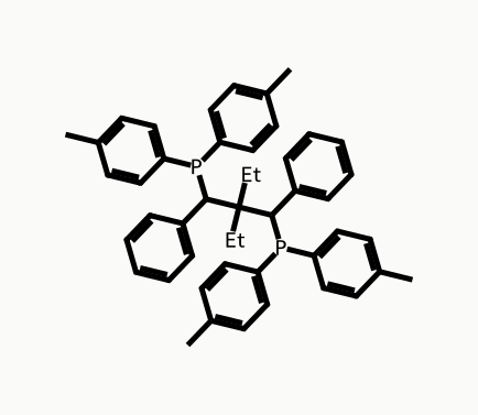 CCC(CC)(C(c1ccccc1)P(c1ccc(C)cc1)c1ccc(C)cc1)C(c1ccccc1)P(c1ccc(C)cc1)c1ccc(C)cc1